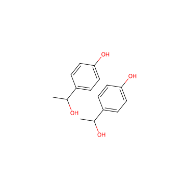 CC(O)c1ccc(O)cc1.CC(O)c1ccc(O)cc1